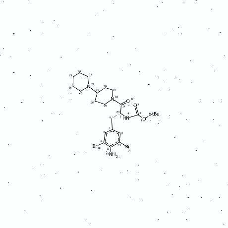 CC(C)(C)OC(=O)N[C@H](Cc1cc(Br)c(N)c(Br)c1)C(=O)N1CCC(N2CCCCC2)CC1